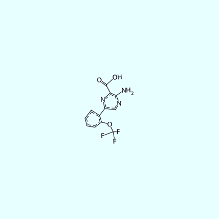 Nc1ncc(-c2ccccc2OC(F)(F)F)nc1C(=O)O